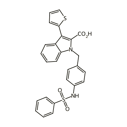 O=C(O)c1c(-c2cccs2)c2ccccc2n1Cc1ccc(NS(=O)(=O)c2ccccc2)cc1